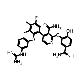 Cc1c(F)cc(-c2ccnc(Oc3cc(C(=N)N)ccc3O)c2C(N)=O)c(Oc2cccc(NC(=N)N)c2)c1F